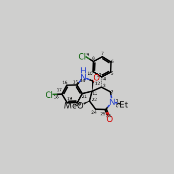 CCN1C[C@@H](c2cccc(Cl)c2)[C@]2(C(=O)Nc3cc(Cl)ccc32)[C@H](OC)CC1=O